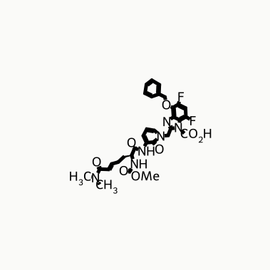 COC(=O)N[C@@H](CC/C=C/C(=O)N(C)C)C(=O)Nc1cccn(Cc2nc3c(OCc4ccccc4)c(F)cc(F)c3n2C(=O)O)c1=O